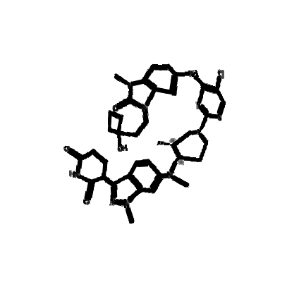 C[C@@H]1CN(c2ncc(Cl)c(Nc3ccc4c(c3)n(CCC3(O)CCC3)c(=O)n4C)n2)CC[C@H]1N(C)c1ccc2c(C3CCC(=O)NC3=O)nn(C)c2c1